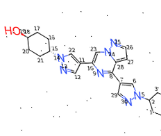 CCC(CC)n1cc(-c2nc(-c3cnn([C@H]4CC[C@H](O)CC4)c3)cn3nccc23)cn1